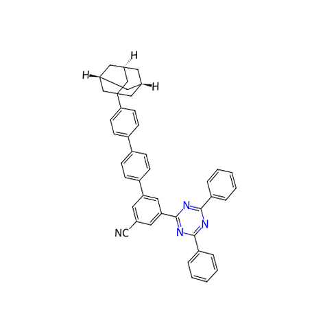 N#Cc1cc(-c2ccc(-c3ccc(C45C[C@H]6C[C@@H](C4)C[C@@H](C5)C6)cc3)cc2)cc(-c2nc(-c3ccccc3)nc(-c3ccccc3)n2)c1